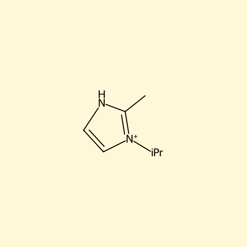 Cc1[nH]cc[n+]1C(C)C